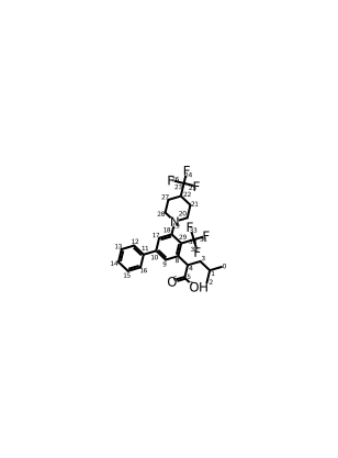 CC(C)CC(C(=O)O)c1cc(-c2ccccc2)cc(N2CCC(C(F)(F)F)CC2)c1C(F)(F)F